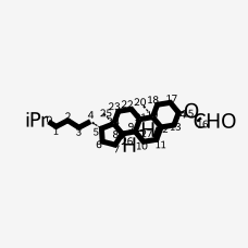 CC(C)CCCC[C@H]1CC[C@H]2[C@@H]3CC=C4C[C@@H](OC=O)CC[C@]4(C)C3CC[C@]12C